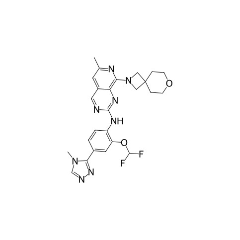 Cc1cc2cnc(Nc3ccc(-c4nncn4C)cc3OC(F)F)nc2c(N2CC3(CCOCC3)C2)n1